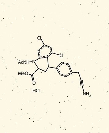 COC(=O)C1CC(c2ccc(CC#CN)cc2)c2c(Cl)cc(Cl)cc2N1NC(C)=O.Cl